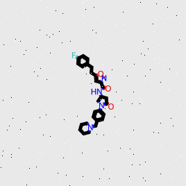 O=C(NC1CC(=O)N(c2ccc(CN3CCCCC3)cc2)C1)c1cc(CCc2ccc(F)cc2)on1